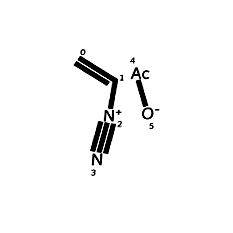 C=C[N+]#N.CC(=O)[O-]